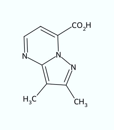 Cc1nn2c(C(=O)O)ccnc2c1C